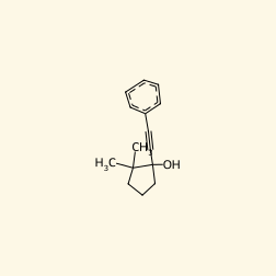 CC1(C)CCCC1(O)C#Cc1ccccc1